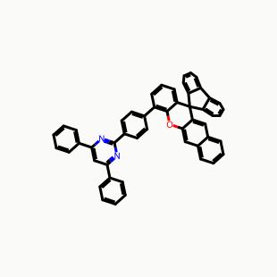 c1ccc(-c2cc(-c3ccccc3)nc(-c3ccc(-c4cccc5c4Oc4cc6ccccc6cc4C54c5ccccc5-c5ccccc54)cc3)n2)cc1